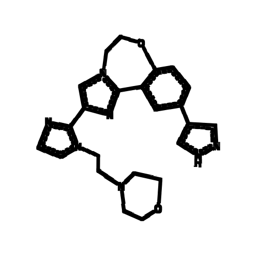 c1cn(CCN2CCOCC2)c(-c2cn3c(n2)-c2cc(-c4cn[nH]c4)ccc2OCC3)n1